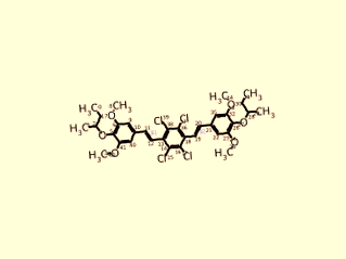 CCC(C)Oc1c(OC)cc(/C=C/c2c(Cl)c(Cl)c(/C=C/c3cc(OC)c(OC(C)CC)c(OC)c3)c(Cl)c2Cl)cc1OC